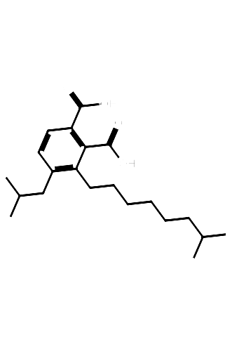 CC(C)CCCCCCc1c(CC(C)C)ccc(C(=O)O)c1C(=O)O